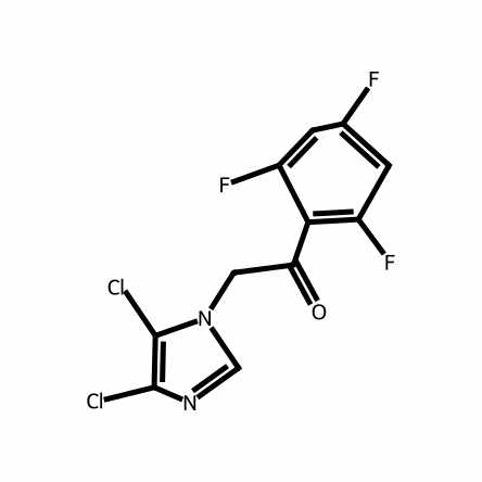 O=C(Cn1cnc(Cl)c1Cl)c1c(F)cc(F)cc1F